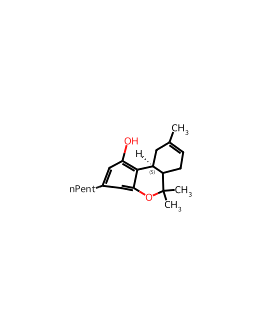 CCCCCc1cc(O)c2c(c1)OC(C)(C)C1CC=C(C)C[C@H]21